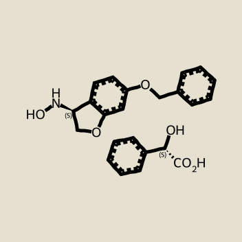 O=C(O)[C@@H](O)c1ccccc1.ON[C@@H]1COc2cc(OCc3ccccc3)ccc21